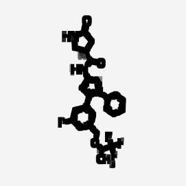 C[C@@H](OCc1cc(F)cc(-c2cc(NC(=O)[C@H]3CNC(=O)C3)nn2-c2ccccc2)c1)C(F)(F)F